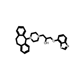 OC(COc1cccc2ncsc12)CN1CCN(C2c3ccccc3CCc3ccccc32)CC1